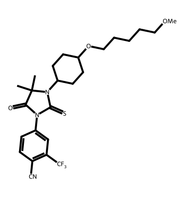 COCCCCCOC1CCC(N2C(=S)N(c3ccc(C#N)c(C(F)(F)F)c3)C(=O)C2(C)C)CC1